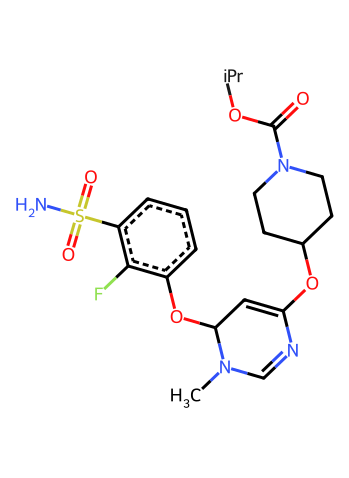 CC(C)OC(=O)N1CCC(OC2=CC(Oc3cccc(S(N)(=O)=O)c3F)N(C)C=N2)CC1